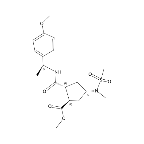 COC(=O)[C@@H]1C[C@@H](N(C)S(C)(=O)=O)C[C@H]1C(=O)N[C@@H](C)c1ccc(OC)cc1